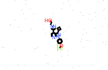 OCCn1cc(-c2ccnc3c2c(C2CCC2)nn3-c2ccc(OC(F)(F)F)cc2)cn1